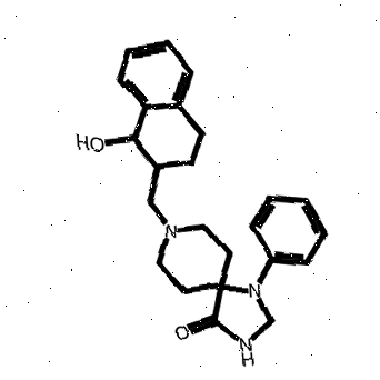 O=C1NCN(c2ccccc2)C12CCN(CC1CCc3ccccc3C1O)CC2